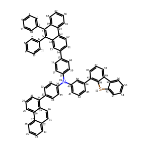 c1ccc(-c2c(-c3ccccc3)c3cc(-c4ccc(N(c5ccc(-c6cccc7c6ccc6ccccc67)cc5)c5cccc(-c6cccc7c6sc6ccccc67)c5)cc4)ccc3c3ccccc23)cc1